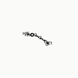 CCC(=O)COCCCCOCCCOc1ccc(NSS)cc1